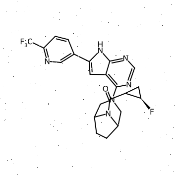 O=C(C1C[C@H]1F)N1C2CCC1CN(c1ncnc3[nH]c(-c4ccc(C(F)(F)F)nc4)cc13)C2